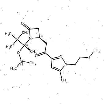 CSCCn1nc(C(=O)C[C@@H]2CC(=O)N2[C@](C)(O[SiH](C)C)C(C)(C)C)cc1C